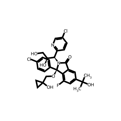 CC(C)(O)c1cc(F)c2c(c1)C(=O)N([C@H](c1ccc(Cl)cn1)[C@@H](O)CO)[C@@]2(OCC1(O)CC1)c1ccc(Cl)cc1